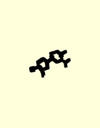 CC(C)[C@@H]1CN(c2ccc(Cl)c(F)c2)CCN1C